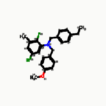 CCc1ccc(CN(Cc2ccc(OC)cc2)c2cc(Br)cc(C)c2F)cc1